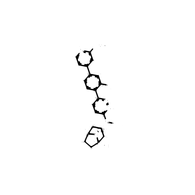 COc1cc(-c2ccc(-c3ccc(N(C)[C@@H]4C[C@@]5(C)CC[C@@](C)([C@@H]4F)N5C)nn3)c(O)c2)ccn1